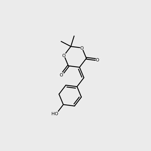 CC1(C)OC(=O)C(=CC2=CCC(O)C=C2)C(=O)O1